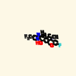 C/C(C#N)=C1\c2ccc(C(O)c3c(C)nc4cc(C(F)(F)F)ccn34)cc2COc2cc(F)ccc21